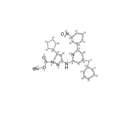 CC(C)(C)OC(=O)n1nc(Nc2cc(Cc3ccccc3)cc(-c3cccc([N+](=O)[O-])c3)n2)cc1C1CCCC1